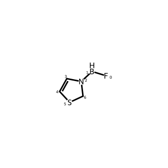 FBN1C=CSC1